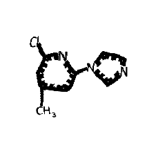 Cc1cc(Cl)nc(-n2ccnc2)c1